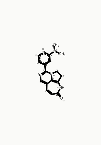 CN(C)c1cc(C2=NC=C3C=CC(=O)NC4=C3N2CC4)ccn1